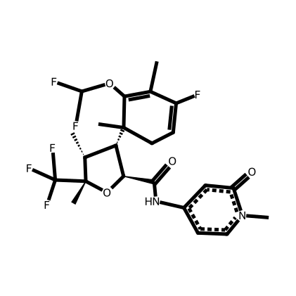 CC1=C(OC(F)F)C(C)([C@@H]2[C@@H](C(=O)Nc3ccn(C)c(=O)c3)O[C@](C)(C(F)(F)F)[C@@H]2C)CC=C1F